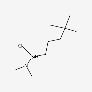 CN(C)[SiH](Cl)CCCC(C)(C)C